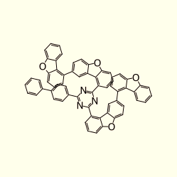 c1ccc(-c2ccc(-c3nc(-c4cccc5oc6ccc(-c7cccc8oc9ccccc9c78)cc6c45)nc(-c4cccc5oc6ccc(-c7cccc8oc9ccccc9c78)cc6c45)n3)cc2)cc1